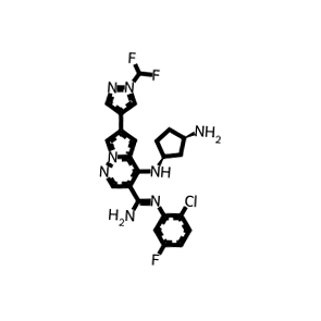 NC(=Nc1cc(F)ccc1Cl)c1cnn2cc(-c3cnn(C(F)F)c3)cc2c1N[C@H]1CC[C@@H](N)C1